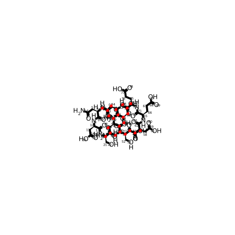 CC(=O)N[C@H](CC(N)=O)C(=O)N[C@H](CC(=O)O)C(=O)N[C@H](CO)C(=O)N[C@H](CCC(=O)O)C(=O)N[C@H](CC(=O)O)C(=O)N[C@H](CC(N)=O)C(=O)N[C@H](CO)C(=O)N[C@H](CC(=O)O)C(=O)N[C@H](CCC(=O)O)C(=O)N[C@H](CCC(=O)O)C(=O)N[C@H](CC(N)=O)C(N)=O